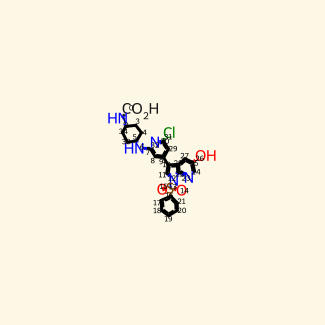 O=C(O)NC1CCC(Nc2cc(-c3cn(S(=O)(=O)c4ccccc4)c4ncc(O)cc34)cc(Cl)n2)CC1